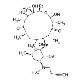 C#CCCN(C)[C@H]1C[C@@H](C)O[C@@H](O[C@@H]2[C@@H](C)C(=O)[C@@H](C)C(O)O[C@H](CC)[C@@](C)(O)[C@H](O)[C@@H](C)C(=O)[C@H](C)C[C@@]2(C)OC)[C@@H]1OC(C)=O